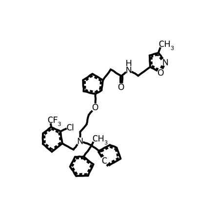 Cc1cc(CNC(=O)Cc2cccc(OCCCN(Cc3cccc(C(F)(F)F)c3Cl)C(C)(c3ccccc3)c3ccccc3)c2)on1